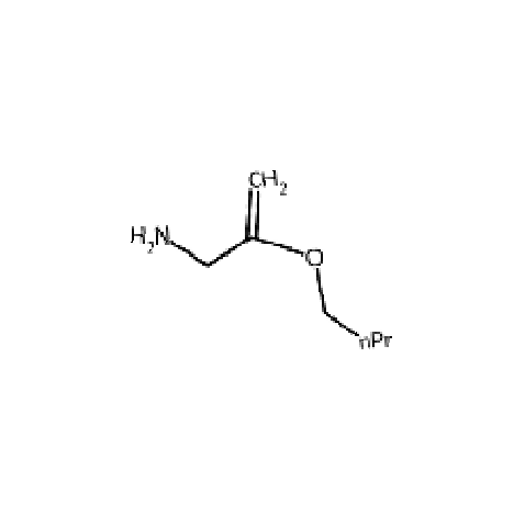 C=C(CN)OCCCC